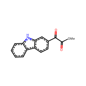 COC(=O)C(=O)c1ccc2c(c1)[nH]c1ccccc12